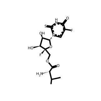 CC(C)[C@H](N)C(=O)OC[C@@]1(F)O[C@@H](n2cc(F)c(=O)[nH]c2=S)[C@H](O)[C@@H]1O